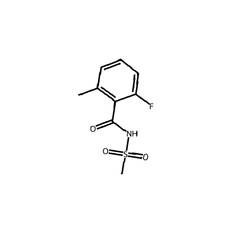 Cc1cccc(F)c1C(=O)NS(C)(=O)=O